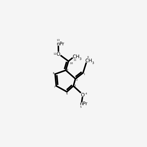 C/C=c1/c(OCCC)ccc/c1=C(/C)OCCC